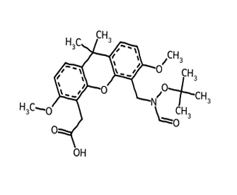 COc1ccc2c(c1CC(=O)O)Oc1c(ccc(OC)c1CN(C=O)OC(C)(C)C)C2(C)C